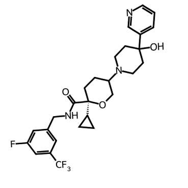 O=C(NCc1cc(F)cc(C(F)(F)F)c1)[C@@]1(C2CC2)CCC(N2CCC(O)(c3cccnc3)CC2)CO1